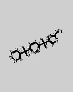 CC(C)c1nc(C(C)(C)c2ccc(C(C)(C)c3ccnnc3)nn2)cs1